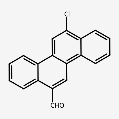 O=Cc1cc2c3ccccc3c(Cl)cc2c2ccccc12